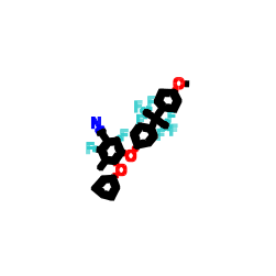 COc1ccc(C(c2ccc(Oc3c(F)c(C#N)c(F)c(C)c3Oc3ccccc3)cc2)(C(F)(F)F)C(F)(F)F)cc1